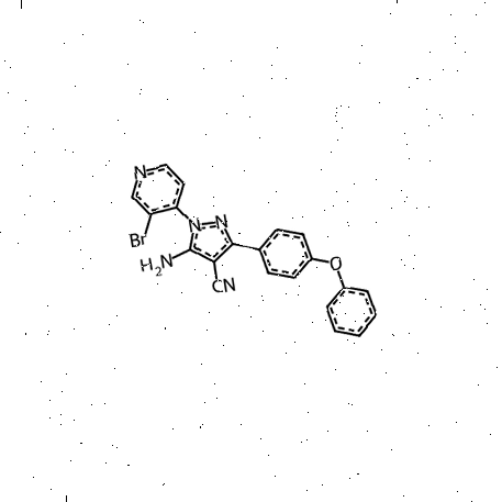 N#Cc1c(-c2ccc(Oc3ccccc3)cc2)nn(-c2ccncc2Br)c1N